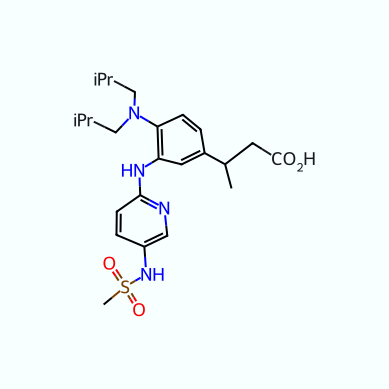 CC(C)CN(CC(C)C)c1ccc(C(C)CC(=O)O)cc1Nc1ccc(NS(C)(=O)=O)cn1